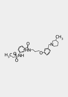 CCS(=O)(=O)Nc1cccc(C(=O)NCCCOc2cccc(CN3CCCC(C)C3)c2)c1